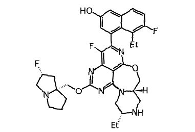 CCc1c(F)ccc2cc(O)cc(-c3nc4c5c(nc(OC[C@]67CCCN6C[C@H](F)C7)nc5c3F)N3C[C@@H](CC)NC[C@H]3CO4)c12